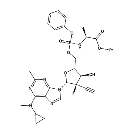 C#C[C@@]1(F)[C@H](O)[C@@H](COP(=O)(N[C@@H](C)C(=O)OC(C)C)Oc2ccccc2)O[C@H]1n1cnc2c(N(C)C3CC3)nc(C)nc21